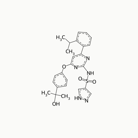 CC(C)c1ccccc1-c1cc(Oc2ccc(C(C)(C)O)cc2)nc(NS(=O)(=O)c2cn[nH]c2)n1